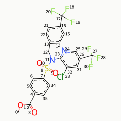 COC(=O)c1ccc(S(=O)(=O)N(Cc2ccc(C(F)(F)F)cc2)c2ncc(C(F)(F)F)cc2Cl)cc1